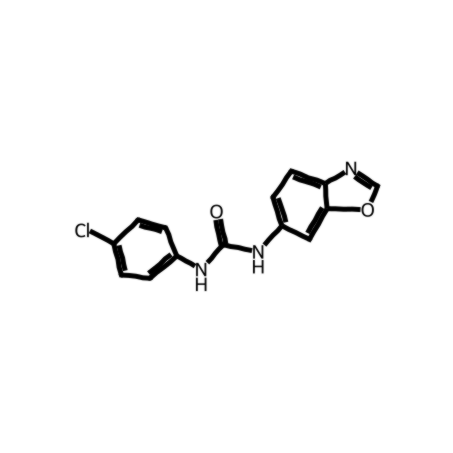 O=C(Nc1ccc(Cl)cc1)Nc1ccc2ncoc2c1